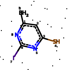 Bc1cc(S)nc(I)n1